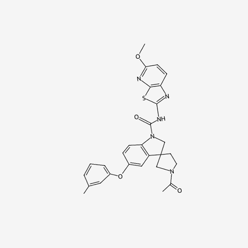 COc1ccc2nc(NC(=O)N3CC4(CCN(C(C)=O)C4)c4cc(Oc5cccc(C)c5)ccc43)sc2n1